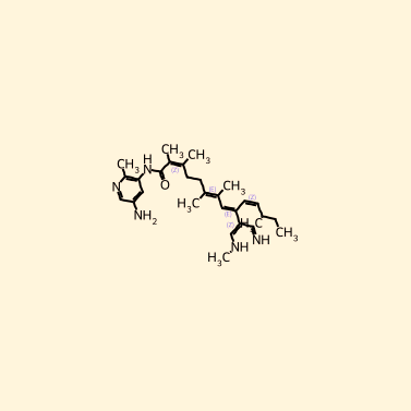 CCC(C)\C=C/C(=C\C(C)=C(/C)CC/C(C)=C(/C)C(=O)Nc1cc(N)cnc1C)C(/C=N)=C/NC